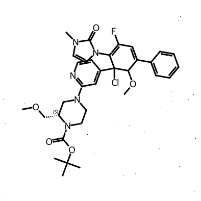 COC[C@@H]1CN(c2cc(C3(Cl)C(n4ccn(C)c4=O)=C(F)C=C(c4ccccc4)C3OC)ccn2)CCN1C(=O)OC(C)(C)C